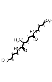 N[C@@H](CCC(=O)NCCCS(=O)(=O)O)C(=O)NCCCS(=O)(=O)O